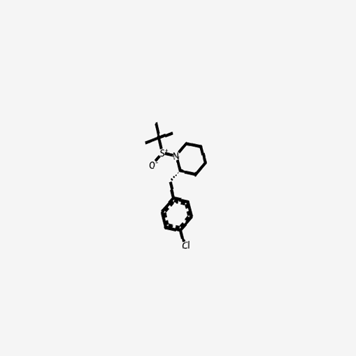 CC(C)(C)[S+]([O-])N1CCCC[C@@H]1Cc1ccc(Cl)cc1